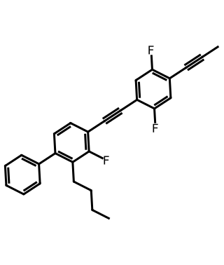 CC#Cc1cc(F)c(C#Cc2ccc(-c3ccccc3)c(CCCC)c2F)cc1F